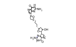 CN/C(N)=N\C1=C(C=O)[N+](C)=CC1C1O[C@H](CCCC[C@@H]2CC[C@H](n3cnc4c(=O)[nH]c(N)nc43)O2)C[C@@H]1O